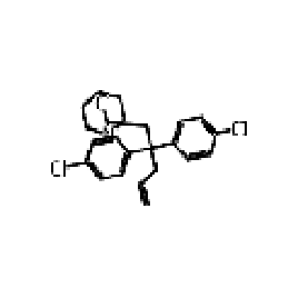 C=CCC(CC1CC2CCN1CC2)(c1ccc(Cl)cc1)c1ccc(Cl)cc1